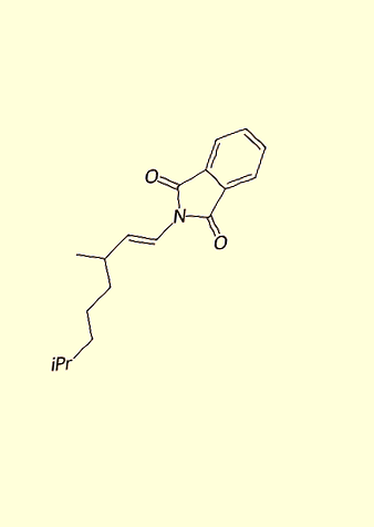 CC(C)CCCC(C)C=CN1C(=O)c2ccccc2C1=O